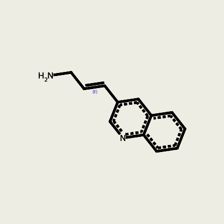 NC/C=C/c1cnc2ccccc2c1